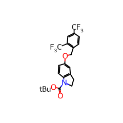 CC(C)(C)OC(=O)N1CCc2cc(OCc3ccc(C(F)(F)F)cc3C(F)(F)F)ccc21